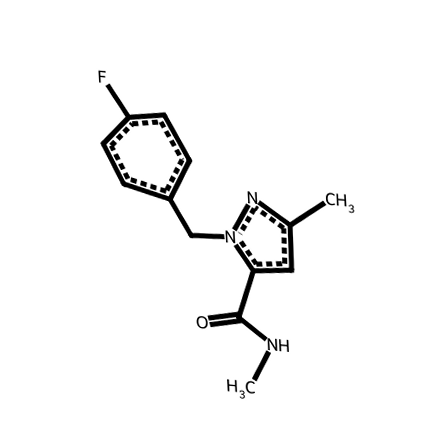 CNC(=O)c1cc(C)nn1Cc1ccc(F)cc1